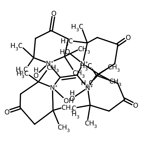 CC1(C)CC(=O)CC(C)(C)[N+]1(O)C(=C([N+]1(O)C(C)(C)CC(=O)CC1(C)C)[N+]1(O)C(C)(C)CC(=O)CC1(C)C)[N+]1(O)C(C)(C)CC(=O)CC1(C)C